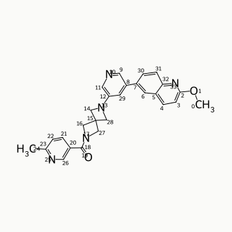 COc1ccc2cc(-c3cncc(N4CC5(CN(C(=O)c6ccc(C)nc6)C5)C4)c3)ccc2n1